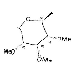 CO[C@@H]1[C@H](OC)[C@H](OC)[C]O[C@H]1C